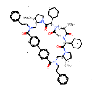 CN[C@@H](C)C(=O)N[C@H](C(=O)N1CC[C@H](OC)[C@H]1CN(CCc1ccccc1)C(=O)c1ccc(-c2ccc(C(=O)N(CCc3ccccc3)C[C@@H]3[C@@H](OC)CCN3C(=O)[C@@H](NC(=O)C(C)C)C3CCCCC3)cc2)cc1)C1CCCCC1